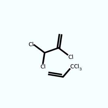 C=C(Cl)C(Cl)Cl.C=CC(Cl)(Cl)Cl